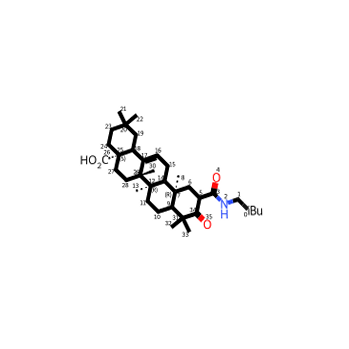 CCC(C)CNC(=O)C1C[C@@]2(C)C(CC[C@]3(C)C2CC=C2C4CC(C)(C)CC[C@]4(C(=O)O)CC[C@]23C)C(C)(C)C1=O